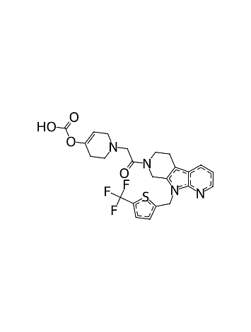 O=C(O)OC1=CCN(CC(=O)N2CCc3c(n(Cc4ccc(C(F)(F)F)s4)c4ncccc34)C2)CC1